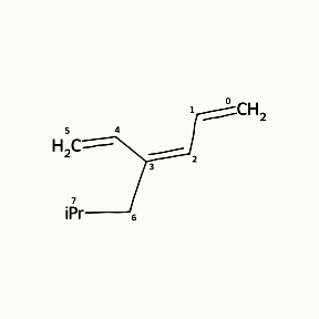 C=C/C=C(\C=C)CC(C)C